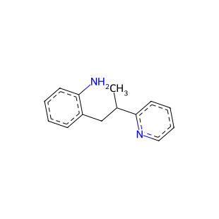 CC(Cc1ccccc1N)c1ccccn1